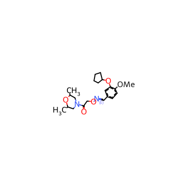 COc1ccc(/C=N/OCC(=O)N2CC(C)OC(C)C2)cc1OC1CCCC1